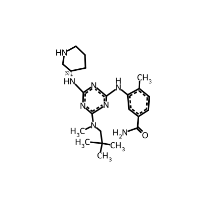 Cc1ccc(C(N)=O)cc1Nc1nc(N[C@H]2CCCNC2)nc(N(C)CC(C)(C)C)n1